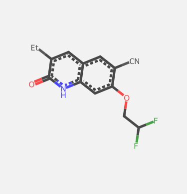 CCc1cc2cc(C#N)c(OCC(F)F)cc2[nH]c1=O